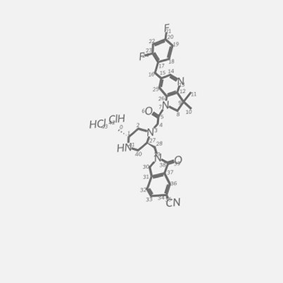 C[C@@H]1CN(CC(=O)N2CC(C)(C)c3ncc(Cc4ccc(F)cc4F)cc32)[C@@H](CN2Cc3ccc(C#N)cc3C2=O)CN1.Cl.Cl